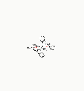 CC(C)(C)[Si](C)(C)OC1=Cc2ccccc2C1[Si](C)(C)C1C(O[Si](C)(C)C(C)(C)C)=Cc2ccccc21